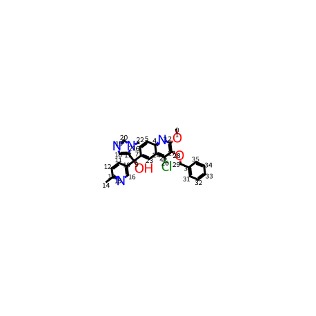 COc1nc2ccc(C(O)(c3ccc(C)nc3)c3cncn3C)cc2c(Cl)c1OCc1ccccc1